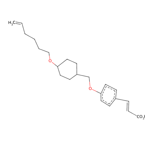 C=CCCCCOC1CCC(COc2ccc(C=CC(=O)O)cc2)CC1